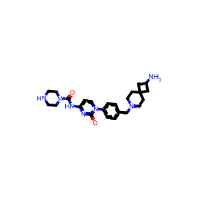 NC1CC2(CCN(Cc3ccc(-n4ccc(NC(=O)N5CCNCC5)nc4=O)cc3)CC2)C1